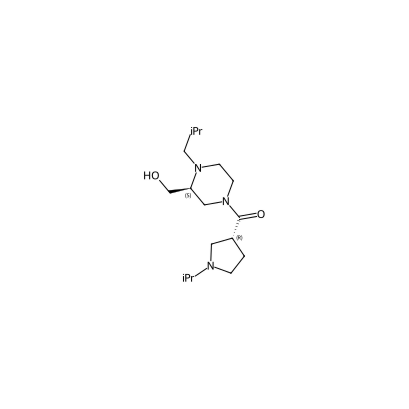 CC(C)CN1CCN(C(=O)[C@@H]2CCN(C(C)C)C2)C[C@H]1CO